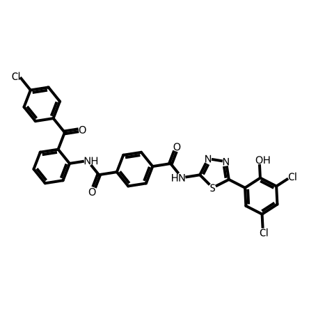 O=C(Nc1nnc(-c2cc(Cl)cc(Cl)c2O)s1)c1ccc(C(=O)Nc2ccccc2C(=O)c2ccc(Cl)cc2)cc1